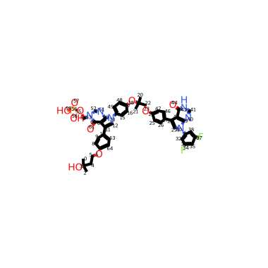 CC(C)(O)CCOc1ccc(-c2cn(-c3ccc(OC(C)(C)COc4ccc(-c5cn(-c6cc(F)cc(F)c6)c6nc[nH]c(=O)c56)cc4)cc3)c3ncn(COP(=O)(O)O)c(=O)c23)cc1